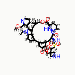 CCn1c(-c2cccnc2[C@H](C)OC)c2c3cc(ccc31)-c1cc(O)cc(c1)C[C@H](NS(=O)(=O)CC1OCCC13CNC3)C(=O)N1CCC[C@H](N1)C(=O)OCC(C)(C)C2